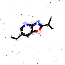 CCc1cnc2nc(C(C)C)oc2c1